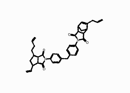 C=CCCC1CC(C=C)C2C(=O)N(c3ccc(Cc4ccc(N5C(=O)C6C7C=C(CC=C)C(C7)C6C5=O)cc4)cc3)C(=O)C12